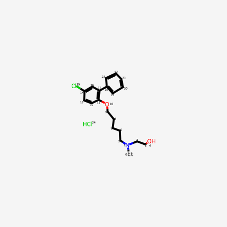 CCN(CCO)CCCCCOc1ccc(Cl)cc1-c1ccccc1.Cl